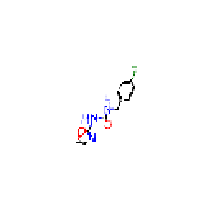 O=C(NCc1ccc(F)cc1)Nc1ncco1